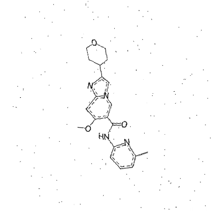 COc1cc2nc(C3CCOCC3)cn2cc1C(=O)Nc1cccc(C)n1